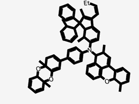 CC/C=C\C1=C(C)C(c2ccccc2)(C2C=CC=CC2C)C2C1=CC=C(N(c1ccc(C3=CCC4(C)OC5C=CC=CC5(C)OC4=C3)cc1)C1c3cccc4c3C(=CC1C)C1=CC=CC(C)C1O4)C2C